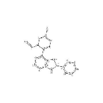 O=CC1CC(Cl)=CC=C1c1cccc2c1OC(c1ccccc1)N2